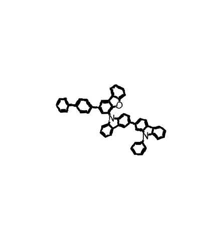 c1ccc(-c2ccc(-c3cc(-n4c5ccccc5c5cc(-c6ccc7c8ccccc8n(-c8ccccc8)c7c6)ccc54)c4oc5ccccc5c4c3)cc2)cc1